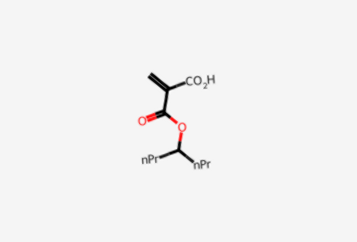 C=C(C(=O)O)C(=O)OC(CCC)CCC